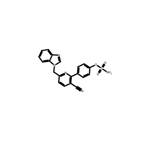 N#Cc1ccc(Cn2cnc3ccccc32)nc1-c1ccc(OS(N)(=O)=O)cc1